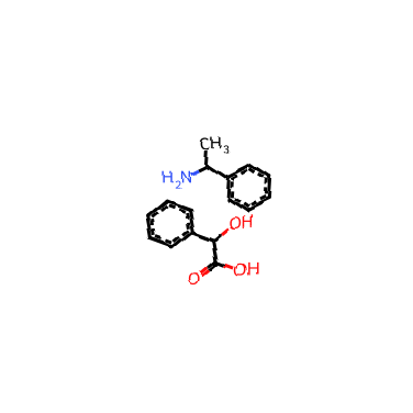 CC(N)c1ccccc1.O=C(O)C(O)c1ccccc1